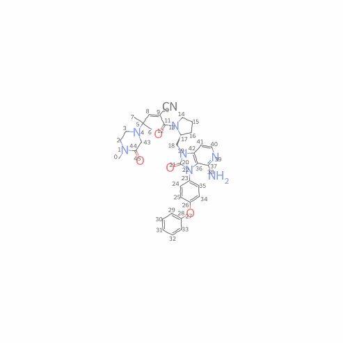 CN1CCN(C(C)(C)/C=C(/C#N)C(=O)N2CCC[C@H]2Cn2c(=O)n(-c3ccc(Oc4ccccc4)cc3)c3c(N)nccc32)CC1=O